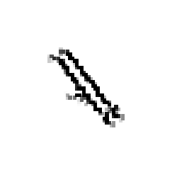 CC(C)CCCCCCCCCCCCCCCOC(=O)CS.CC(C)CCCCCCCCCCCCCCCOC(=O)CS.CCC[CH2][Sn][CH2]CCC